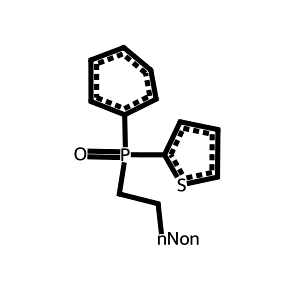 CCCCCCCCCCCP(=O)(c1ccccc1)c1cccs1